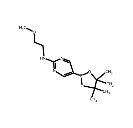 COCCNc1ncc(B2OC(C)(C)C(C)(C)O2)cn1